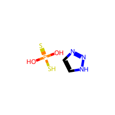 OP(O)(=S)S.c1c[nH]nn1